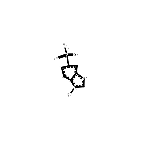 CCn1cnc2cc(S(=O)(=O)C(F)(F)F)ccc21